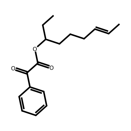 CC=CCCCC(CC)OC(=O)C(=O)c1ccccc1